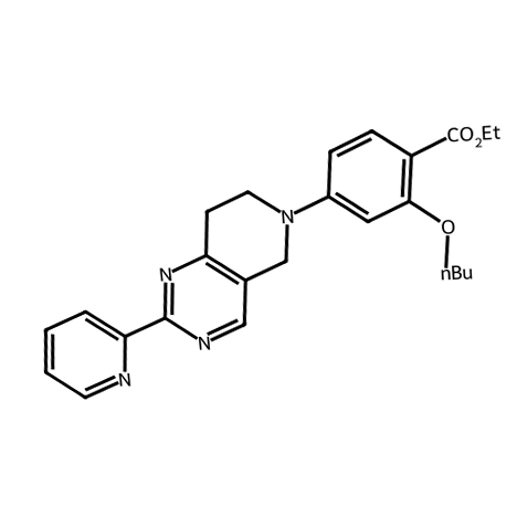 CCCCOc1cc(N2CCc3nc(-c4ccccn4)ncc3C2)ccc1C(=O)OCC